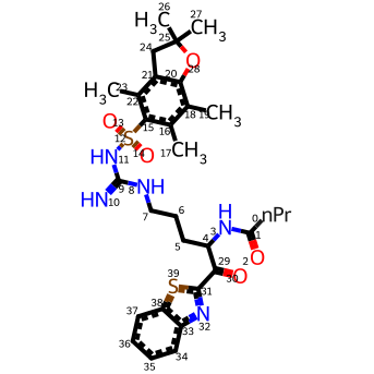 CCCC(=O)NC(CCCNC(=N)NS(=O)(=O)c1c(C)c(C)c2c(c1C)CC(C)(C)O2)C(=O)c1nc2ccccc2s1